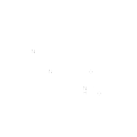 CC1Oc2ccc(CN(C)Cc3cccnc3)cc2NC1=O